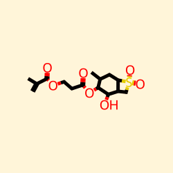 C=C(C)C(=O)OCCC(=O)OC1C(C)CC2C(CS2(=O)=O)C1O